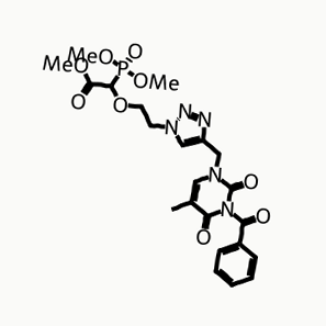 COC(=O)C(OCCn1cc(Cn2cc(C)c(=O)n(C(=O)c3ccccc3)c2=O)nn1)P(=O)(OC)OC